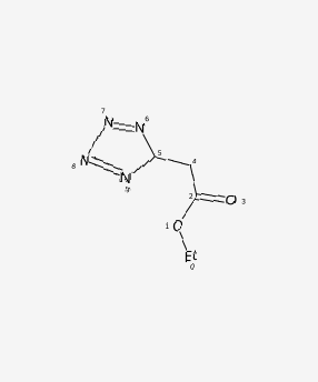 CCOC(=O)CC1N=NN=N1